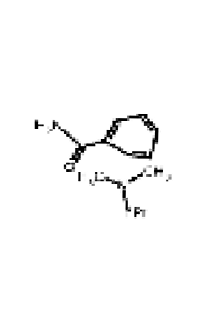 CCCN(C)C.NC(=O)c1ccccc1